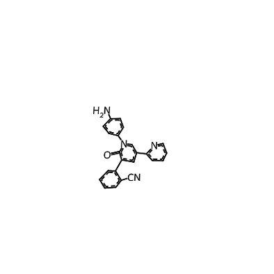 N#Cc1ccccc1-c1cc(-c2ccccn2)cn(-c2ccc(N)cc2)c1=O